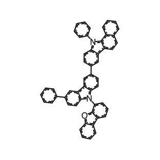 c1ccc(-c2ccc3c(c2)c2cc(-c4ccc5c(c4)c4ccc6ccccc6c4n5-c4ccccc4)ccc2n3-c2cccc3c2oc2ccccc23)cc1